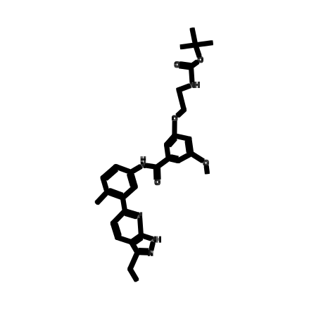 CCc1n[nH]c2nc(-c3cc(NC(=O)c4cc(OC)cc(OCCNC(=O)OC(C)(C)C)c4)ccc3C)ccc12